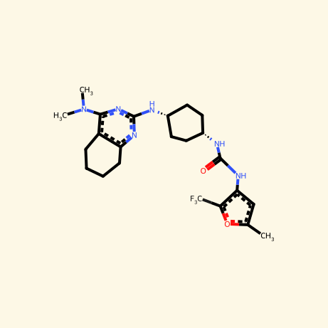 Cc1cc(NC(=O)N[C@H]2CC[C@@H](Nc3nc4c(c(N(C)C)n3)CCCC4)CC2)c(C(F)(F)F)o1